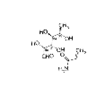 C=CC(N)=O.C[C@@H](O)[C@H](O)[C@H](O)[C@@H](O)C=O